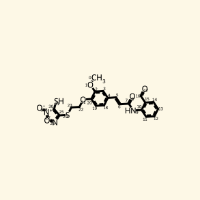 COc1cc(/C=C/C(=O)Nc2ccccc2C=O)ccc1OCCSc1no[n+]([O-])c1S